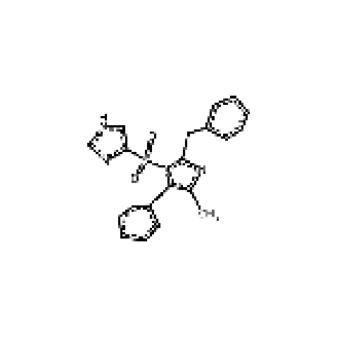 Cc1nc(Cc2ccccc2)n(S(=O)(=O)c2c[nH]cn2)c1-c1ccccc1